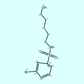 O=S(=O)(NCCCCCO)c1cccc(Br)c1